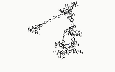 CCn1nc(C)cc1C(=O)Nc1nc2cc(C(N)=O)ccc2n1C/C=C/Cn1c(NC(=O)c2cc(C)nn2CC)nc2cc(C(N)=O)cc(OCCCN3CC4(C3)CN(C(=O)[C@H](CC(C)C)NC(=O)OCc3ccc(NC(=O)[C@H](CCCNC(N)=O)NC(=O)[C@@H](NC(=O)CCOCCOCCOCCOCCONC(=O)OC(C)(C)C)C(C)C)cc3)CCO4)c21